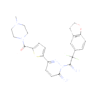 CN1CCN(C(=O)c2ccc(-c3ccc(=N)n(C(=N)C(F)(F)c4ccc5c(c4)CCO5)n3)s2)CC1